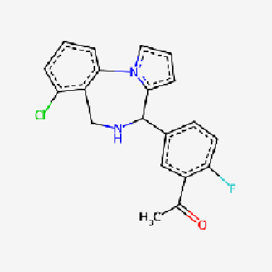 CC(=O)c1cc(C2NCc3c(Cl)cccc3-n3cccc32)ccc1F